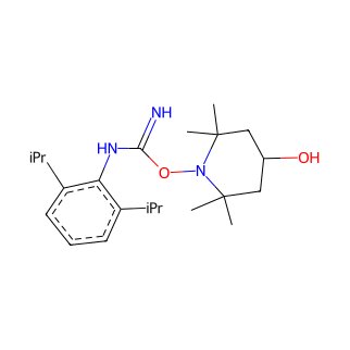 CC(C)c1cccc(C(C)C)c1NC(=N)ON1C(C)(C)CC(O)CC1(C)C